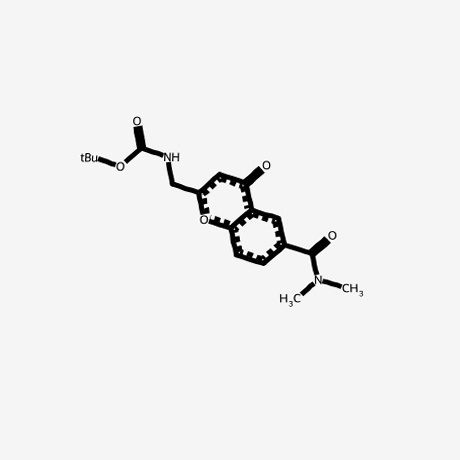 CN(C)C(=O)c1ccc2oc(CNC(=O)OC(C)(C)C)cc(=O)c2c1